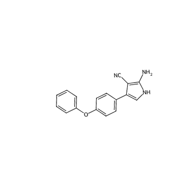 N#Cc1c(-c2ccc(Oc3ccccc3)cc2)c[nH]c1N